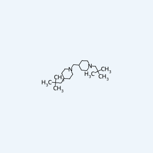 CC(C)(C)CC1CCN(CC2CCN(CC(C)(C)C)CC2)CC1